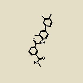 CNC(=O)c1cccc(C(=O)Nc2ccc(-c3ccc(C)c(C)c3)cc2C)c1